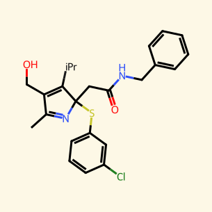 CC1=NC(CC(=O)NCc2ccccc2)(Sc2cccc(Cl)c2)C(C(C)C)=C1CO